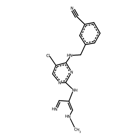 CN/C=C(\C=N)Nc1ncc(Cl)c(NCc2cccc(C#N)c2)n1